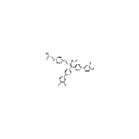 CCOC(COc1ccc(OCC(=O)O)c(C)c1)=C(c1ccc(-c2ccc(F)c(F)c2)cc1)c1ccc(-c2ccc(F)c(F)c2)cc1